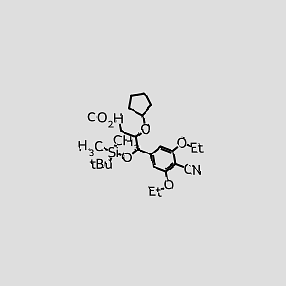 CCOc1cc(C(O[Si](C)(C)C(C)(C)C)C(CC(=O)O)OC2CCCC2)cc(OCC)c1C#N